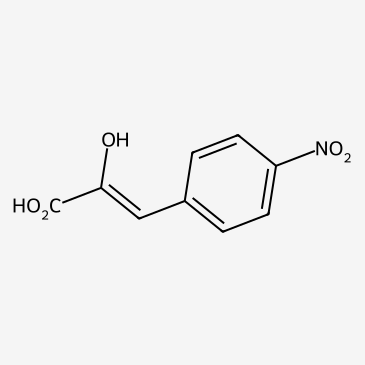 O=C(O)C(O)=Cc1ccc([N+](=O)[O-])cc1